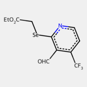 CCOC(=O)C[Se]c1nccc(C(F)(F)F)c1C=O